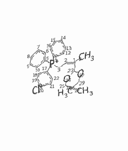 CC(=CC[P+](c1ccccc1)(c1ccccc1)c1ccccc1)C1OCC(C)(C)CO1.[Cl-]